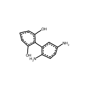 Nc1ccc(N)c(-c2c(O)cccc2O)c1